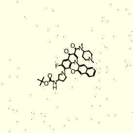 CN1CCC(N(C)C(=O)c2cn3c4c(c(N5CCC(NC(=O)OC(C)(C)C)C5)c(F)cc4c2=O)Oc2cc4ccccc4cc2-3)CC1